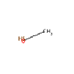 CCCCCCCCCCCCCCCCCCC(=O)S